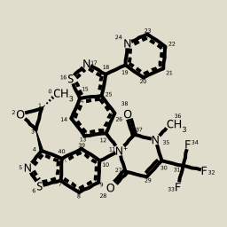 C[C@H]1O[C@@H]1c1nsc2ccc([N+]3(c4ccc5snc(-c6ccccn6)c5c4)C(=O)C=C(C(F)(F)F)N(C)C3=O)cc12